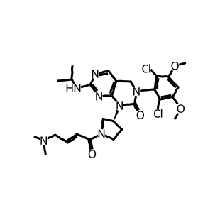 COc1cc(OC)c(Cl)c(N2Cc3cnc(NC(C)C)nc3N([C@H]3CCN(C(=O)/C=C/CN(C)C)C3)C2=O)c1Cl